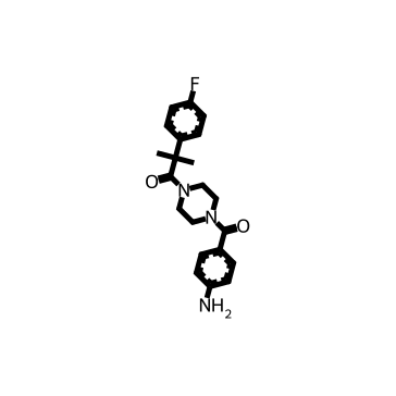 CC(C)(C(=O)N1CCN(C(=O)c2ccc(N)cc2)CC1)c1ccc(F)cc1